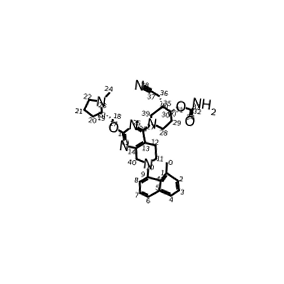 Cc1cccc2cccc(N3CCc4c(nc(OC[C@@H]5CCCN5C)nc4N4CC[C@@H](OC(N)=O)[C@@H](CC#N)C4)C3)c12